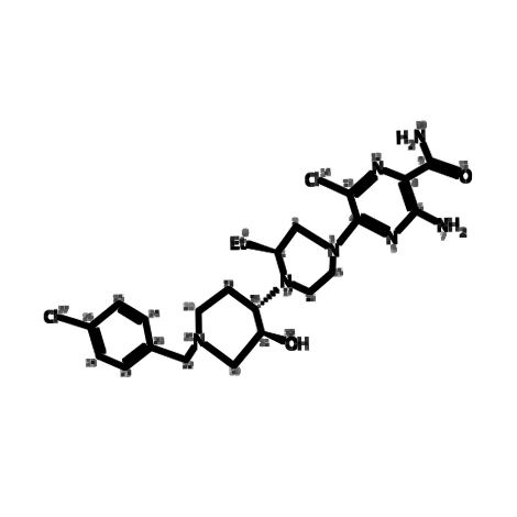 CC[C@H]1CN(c2nc(N)c(C(N)=O)nc2Cl)CCN1[C@H]1CCN(Cc2ccc(Cl)cc2)C[C@@H]1O